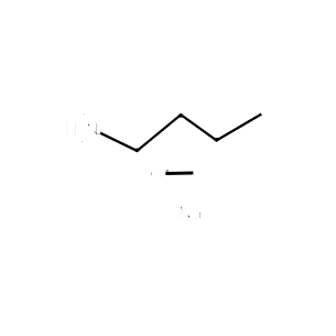 CCCCN.C[O-].[Na+]